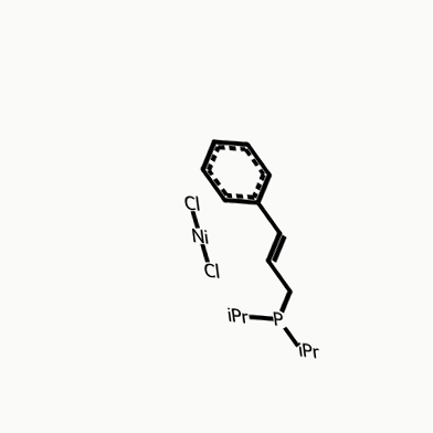 CC(C)P(CC=Cc1ccccc1)C(C)C.[Cl][Ni][Cl]